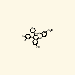 COc1cc(C(=O)O)ccc1Oc1nc(C2CCOCC2)c(-c2ccc(F)c(C)c2)c2ccc(O)cc12